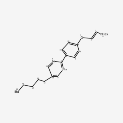 CCCCCCC=COc1ccc(-c2ncc(CCCCC(C)CC)cn2)cc1